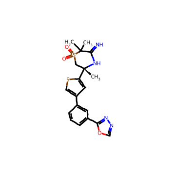 CC1(C)C(=N)N[C@](C)(c2cc(-c3cccc(-c4nnco4)c3)cs2)CS1(=O)=O